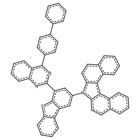 c1ccc(-c2ccc(-c3nc(-c4cc(-n5c6ccc7ccccc7c6c6c7ccccc7ccc65)cc5c4sc4ccccc45)nc4ccccc34)cc2)cc1